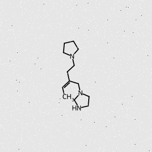 CC=C(CCN1CCCC1)CN1CCNC1